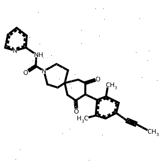 CC#Cc1cc(C)c(C2C(=O)CC3(CCN(C(=O)Nc4ccccn4)CC3)CC2=O)c(C)c1